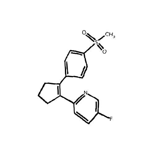 CS(=O)(=O)c1ccc(C2=C(c3ccc(F)cn3)CCC2)cc1